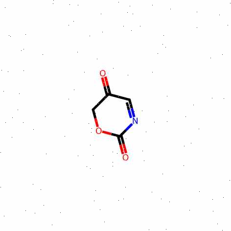 O=C1C=NC(=O)OC1